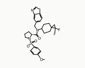 COc1ccc(S(=O)(=O)N2CCC[C@H]2C(=O)N(Cc2ccc3scnc3c2)C2CCC3(CC2)CC3(F)F)cc1